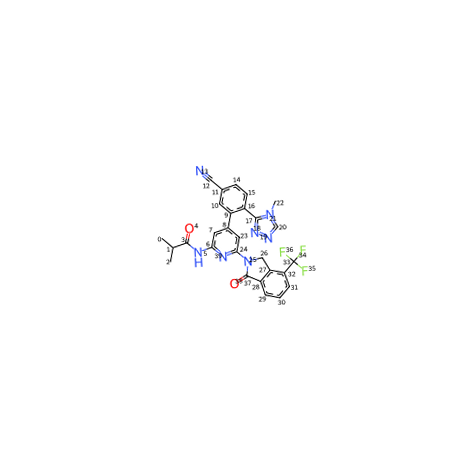 CC(C)C(=O)Nc1cc(-c2cc(C#N)ccc2-c2nncn2C)cc(N2Cc3c(cccc3C(F)(F)F)C2=O)n1